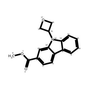 COC(=O)c1ccc2c3ccccc3n(C3COC3)c2c1